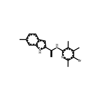 C=C(Nc1nc(C)c(Br)c(C)c1C)c1cc2ccc(C)cc2[nH]1